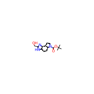 CC(C)(C)OC(=O)n1ccc2c3nc(CO)[nH]c3ccc21